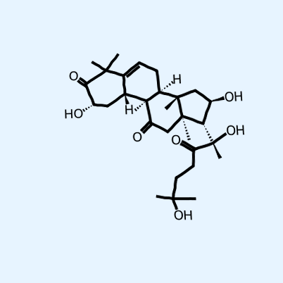 CC(C)(O)CCC(=O)[C@@](C)(O)[C@H]1[C@H](O)C[C@@]2(C)[C@@H]3CC=C4[C@@H](C[C@H](O)C(=O)C4(C)C)[C@]3(C)C(=O)C[C@]12C